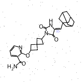 NC(=O)c1cccnc1OC1CC2(C1)CC(N1C(=O)N/C(=C\C34CC5CC(CC(C5)C3)C4)C1=O)C2